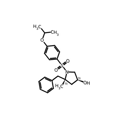 CC(C)Oc1ccc(S(=O)(=O)N2C[C@@H](O)C[C@]2(C)Cc2ccccc2)cc1